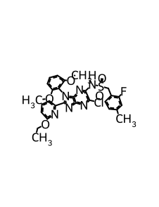 CCOc1cccc(-c2nc3nc(Cl)c(NS(=O)(=O)Cc4ccc(C)cc4F)nc3n2-c2c(OC)cccc2OC)n1